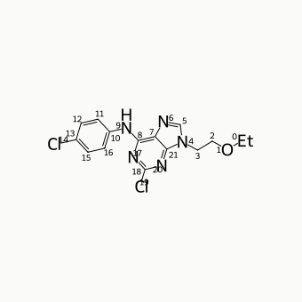 CCOCCn1cnc2c(Nc3ccc(Cl)cc3)nc(Cl)nc21